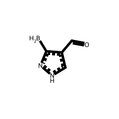 Bc1n[nH]cc1C=O